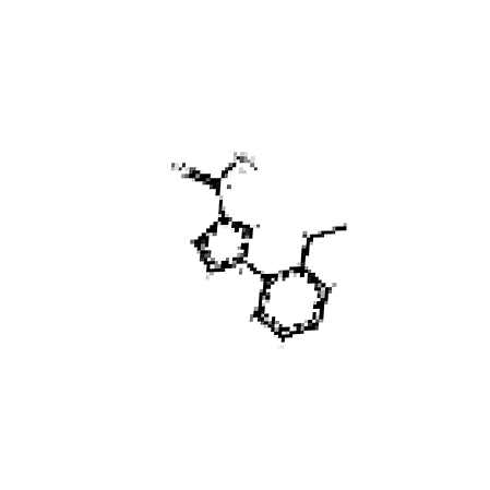 CCc1ccccc1-n1ccc(C(N)=O)c1